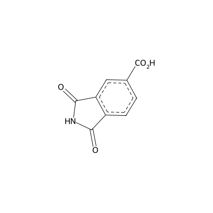 O=C(O)c1ccc2c(c1)C(=O)NC2=O